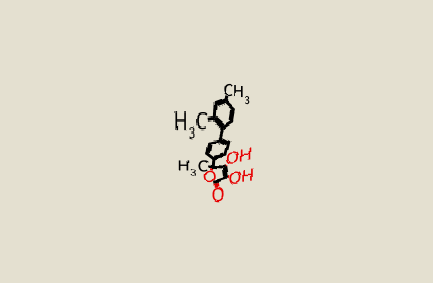 Cc1ccc(-c2ccc(C3(C)OC(=O)C(O)=C3O)cc2)c(C)c1